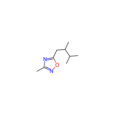 Cc1noc(CC(C)C(C)C)n1